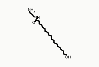 NCCCNC(=O)CCCCCCCCCCCCCCCCCCCO